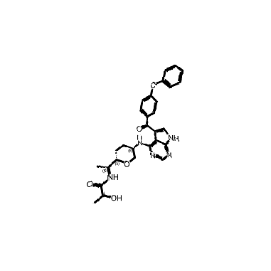 CC(O)C(=O)N[C@@H](C)[C@@H]1CC[C@@H](Nc2ncnc3[nH]cc(C(=O)c4ccc(Oc5ccccc5)cc4)c23)CO1